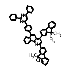 CC1(C)c2ccccc2-c2ccc(-c3cc(-c4ccc5c(c4)C(C)(C)c4ccccc4-5)c4cc(-c5ccc(-c6cc(-c7ccccc7)nc(-c7ccccc7)n6)cc5)c5ccccc5c4n3)cc21